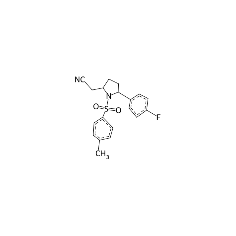 Cc1ccc(S(=O)(=O)N2C(CC#N)CCC2c2ccc(F)cc2)cc1